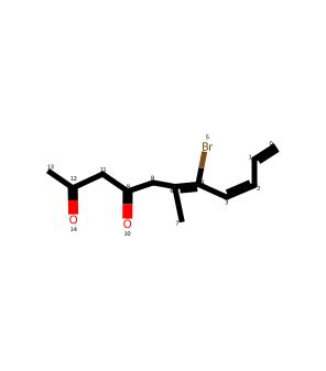 C=C/C=C\C(Br)=C(/C)CC(=O)CC(C)=O